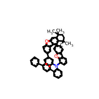 CC1(C)CCC(C)(C)c2cc3c(cc21)oc1ccc(-c2cccc(N(c4ccccc4-c4ccc(-c5ccccc5)cc4)c4cccc5c4oc4ccccc45)c2)cc13